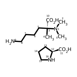 CN(C)[C@@](C)(CCCCN)C(=O)O.O=C(O)[C@@H]1CCCN1